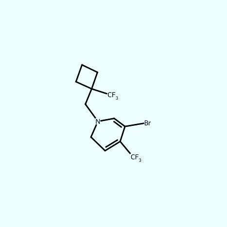 FC(F)(F)C1=CCN(CC2(C(F)(F)F)CCC2)C=C1Br